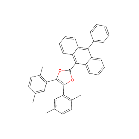 Cc1ccc(C)c(C2=C(c3cc(C)ccc3C)OB(c3c4ccccc4c(-c4ccccc4)c4ccccc34)O2)c1